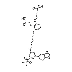 CC(C)S(=O)(=O)c1cc(OCCCCCCc2cccc(OCCCC(=O)O)c2CCC(=O)O)cc(-c2ccc3c(c2)OCO3)c1